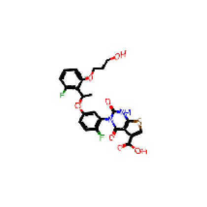 CC(Oc1ccc(F)c(-n2c(=O)[nH]c3scc(C(=O)O)c3c2=O)c1)c1c(F)cccc1OCCCO